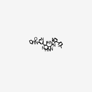 Cc1ccc(-c2ccnc3[nH]c(-c4n[nH]c5cnc(-c6cncc(NC(=O)C7CCCC7)c6)c(F)c45)nc23)s1